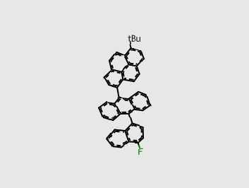 CC(C)(C)c1ccc2ccc3c(-c4c5ccccc5c(-c5ccc(F)c6ccccc56)c5ccccc45)ccc4ccc1c2c43